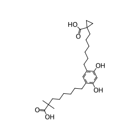 CC(C)(CCCCCCc1cc(CCCCCCC2(C(=O)O)CC2)c(O)cc1O)C(=O)O